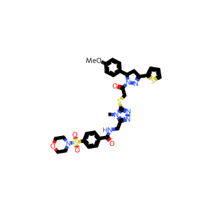 COc1ccc(C2CC(c3cccs3)=NN2C(=O)CSc2nnc(CNC(=O)c3ccc(S(=O)(=O)N4CCOCC4)cc3)n2C)cc1